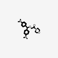 CN(C)c1ccc(C(OCC(=O)N2CCOCC2)c2ccc(N(C)C)cc2)cc1